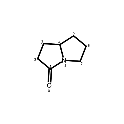 O=C1C[CH]C2CCCN12